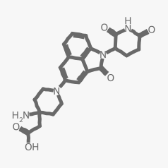 NC1(CC(=O)O)CCN(c2cc3c4c(cccc4c2)N(C2CCC(=O)NC2=O)C3=O)CC1